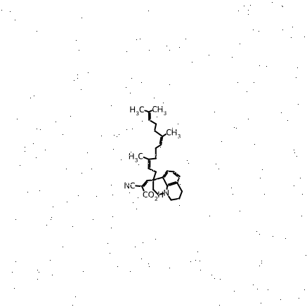 CC(C)=CCCC(C)=CCCC(C)=CCC1(C=C(C#N)C(=O)O)CCN2CCCc3cccc1c32